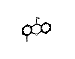 Cc1cccc2c1Oc1ccccc1B2C(C)(C)C